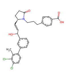 Cc1c(-c2cccc(C(O)/C=C/[C@H]3CCC(=O)N3CCCc3ccc(C(=O)O)cc3)c2)ccc(Cl)c1Cl